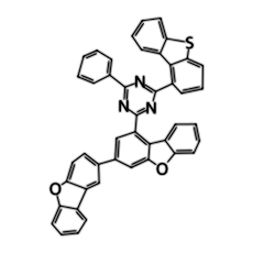 c1ccc(-c2nc(-c3cc(-c4ccc5oc6ccccc6c5c4)cc4oc5ccccc5c34)nc(-c3cccc4sc5ccccc5c34)n2)cc1